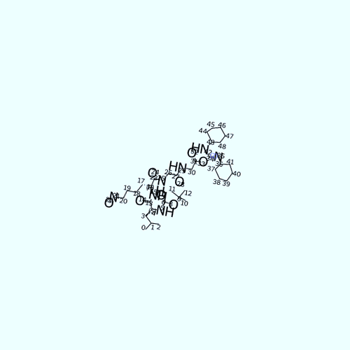 CC(C)C[C@H](NC(=O)OC(C)(C)C)C(=O)N[C@H](CCCCN=O)C(=O)NCC(=O)NCC(=O)O/C(=N\C1CCCCC1)NC1CCCCC1